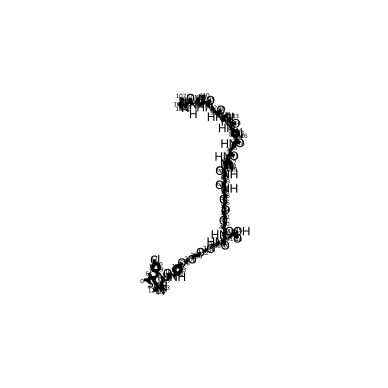 Cc1sc2c(c1C)C(c1ccc(Cl)cc1)=N[C@@H](CC(=O)Nc1ccc(OCCOCCOCCOCCNC(=O)[C@@H](CCC(=O)O)NC(=O)CCOCCOCCOCCNC(=O)CCNC(=O)c3nc(NC(=O)CCNC(=O)c4cc(NC(=O)c5nc(NC(=O)CCNC(=O)c6cc(NC(=O)c7nccn7C)cn6C)cn5C)cn4C)cn3C)cc1)c1nnc(C)n1-2